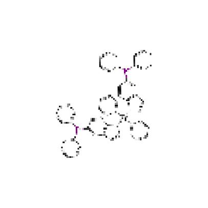 C1=C[CH]([Zr]([c]2ccccc2)([c]2ccccc2)[CH]2C=Cc3cc(P(c4ccccc4)c4ccccc4)ccc32)c2ccc(P(c3ccccc3)c3ccccc3)cc21